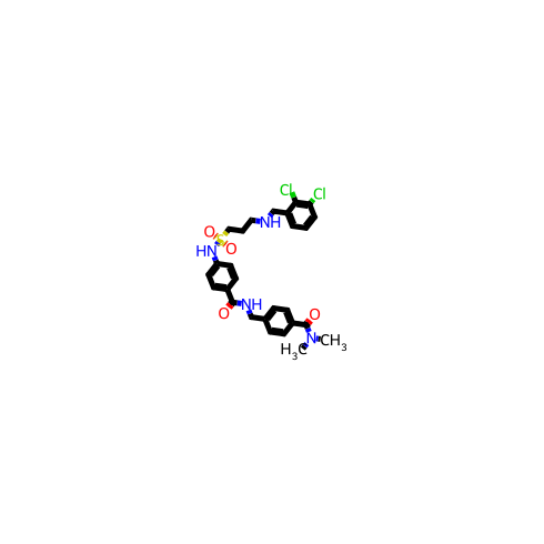 CN(C)C(=O)c1ccc(CNC(=O)c2ccc(NS(=O)(=O)CCCNCc3cccc(Cl)c3Cl)cc2)cc1